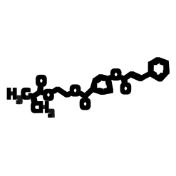 C=C(C)C(=O)OCCOC(=O)c1ccc(OC(=O)/C=C/c2ccccc2)cc1